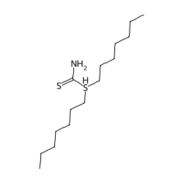 CCCCCCC[SH](CCCCCCC)C(N)=S